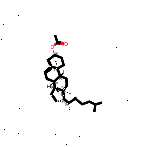 CC(=O)O[C@@H]1CC[C@]2(C)C(=CC[C@@H]3[C@H]4CC[C@@H]([C@@H](C)CCCC(C)C)[C@]4(C)CC[C@H]32)C1